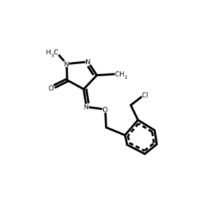 CC1=NN(C)C(=O)C1=NOCc1ccccc1CCl